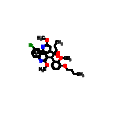 CCCCOc1cccc(C(c2cc3cc(Br)ccc3nc2OC)C(O)(CCC)c2cc(C)nc(OC)c2)c1OC